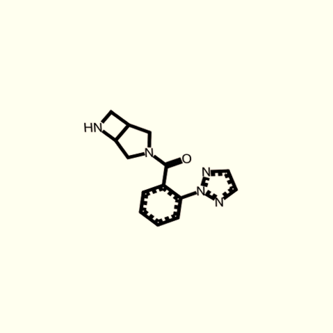 O=C(c1ccccc1-n1nccn1)N1CC2CNC2C1